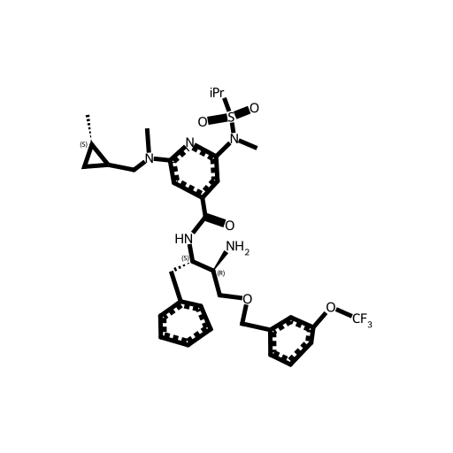 CC(C)S(=O)(=O)N(C)c1cc(C(=O)N[C@@H](Cc2ccccc2)[C@@H](N)COCc2cccc(OC(F)(F)F)c2)cc(N(C)CC2C[C@@H]2C)n1